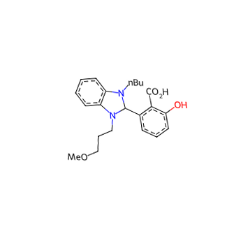 CCCCN1c2ccccc2N(CCCOC)C1c1cccc(O)c1C(=O)O